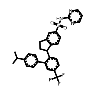 CC(C)c1ccc(-c2cc(C(F)(F)F)ccc2C2CCc3cc(S(=O)(=O)Nc4ncccn4)ccc32)cc1